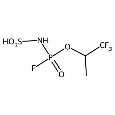 CC(OP(=O)(F)NS(=O)(=O)O)C(F)(F)F